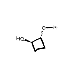 CC(C)O[C@@H]1CC[C@H]1O